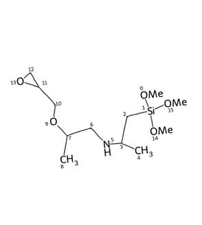 CO[Si](CC(C)NCC(C)OCC1CO1)(OC)OC